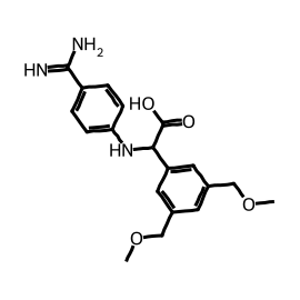 COCc1cc(COC)cc(C(Nc2ccc(C(=N)N)cc2)C(=O)O)c1